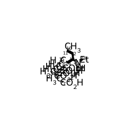 CC(=O)O.CC(=O)O.CC(=O)O.CC(=O)O.CC(=O)O.CC=CC(=CC)N(CC)CC